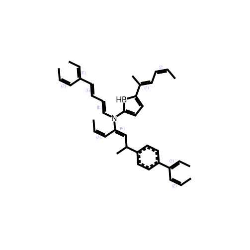 C/C=C\C=C(/C)C1=CC=C(N(/C=C/C=C/C(/C=C\C)=C/C)C(/C=C\C)=C/C(C)c2ccc(C(/C=C\C)=C/C)cc2)B1